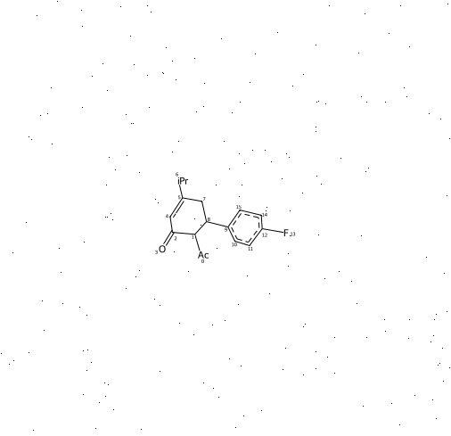 CC(=O)C1C(=O)C=C(C(C)C)CC1c1ccc(F)cc1